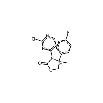 C[C@@]1(c2ccc(F)cc2)COC(=O)N1c1ccnc(Cl)n1